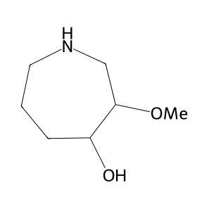 COC1CNCCCC1O